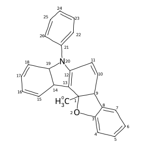 CC12Oc3ccccc3C1C=CC1=C2C2C=CC=CC2N1c1ccccc1